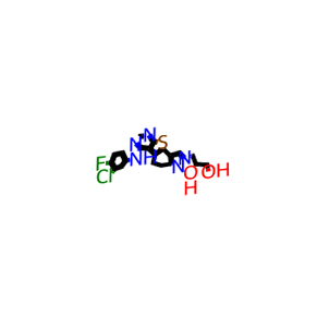 OC[C@H](O)Cn1cc2c(n1)CCc1c-2sc2ncnc(Nc3ccc(F)c(Cl)c3)c12